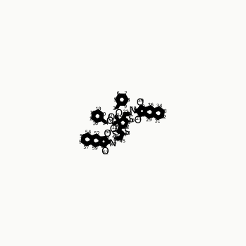 O=C(OCc1ccccc1)C1(C(=O)OCc2ccccc2)c2cc(N=c3c(=O)c4cc5ccccc5cc4c3=O)sc2-c2sc3cc(N=c4c(=O)c5cc6ccccc6cc5c4=O)sc3c21